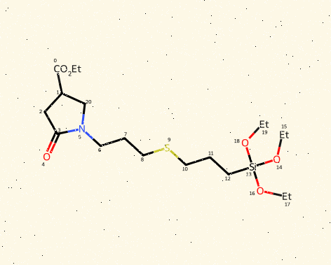 CCOC(=O)C1CC(=O)N(CCCSCCC[Si](OCC)(OCC)OCC)C1